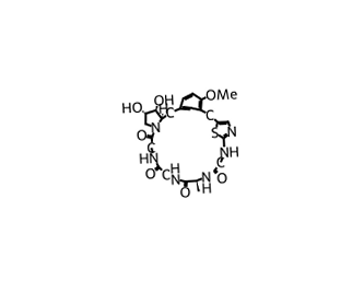 COc1ccc2cc1Cc1cnc(s1)NCC(=O)N[C@@H](C)C(=O)NCC(=O)NCC(=O)N1C[C@H](O)[C@@H](O)[C@H]1C2